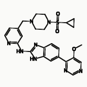 COc1cncnc1-c1ccc2nc(Nc3cc(CN4CCN(S(=O)(=O)C5CC5)CC4)ccn3)[nH]c2c1